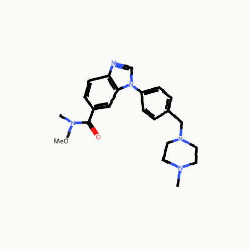 CON(C)C(=O)c1ccc2ncn(-c3ccc(CN4CCN(C)CC4)cc3)c2c1